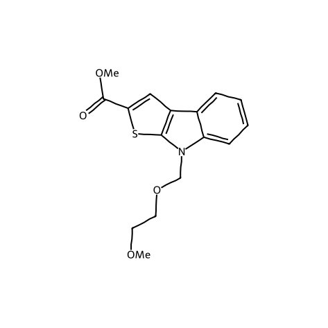 COCCOCn1c2ccccc2c2cc(C(=O)OC)sc21